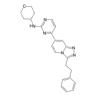 c1ccc(CCc2nnc3cc(-c4ccnc(NC5CCOCC5)n4)ccn23)cc1